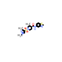 Cc1nn(C)cc1S(=O)(=O)N1CC[C@H](C(=O)Nc2ccc3scnc3c2)[C@H](C)C1